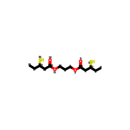 CCC(S)CC(=O)OCCCOC(=O)CC(S)CC